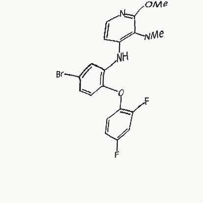 CNc1c(Nc2cc(Br)ccc2Oc2ccc(F)cc2F)ccnc1OC